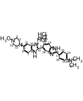 CN1CCN(c2ccc3[nH]c(-c4ccc5[nH]c(-c6ccc(N(C)C)cc6)nc5c4)nc3c2)CC1.Cl.Cl.Cl